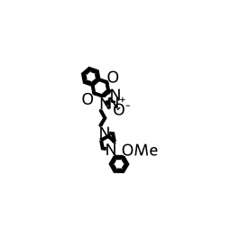 COc1ccccc1N1CC2CC1CN2CCCn1c2c(n[n+]1[O-])C(=O)c1ccccc1C2=O